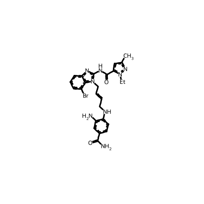 CCn1nc(C)cc1C(=O)Nc1nc2cccc(Br)c2n1CC=CCNc1ccc(C(N)=O)cc1N